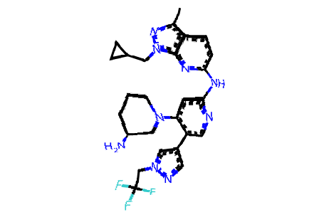 Cc1nn(CC2CC2)c2nc(Nc3cc(N4CCC[C@H](N)C4)c(-c4cnn(CC(F)(F)F)c4)cn3)ccc12